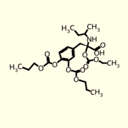 CCCOC(=O)Oc1ccc(C[C@](NC(C)CC)(OC(=O)OCC)C(=O)O)cc1OC(=O)OCCC